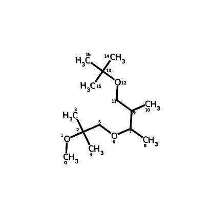 COC(C)(C)COC(C)C(C)COC(C)(C)C